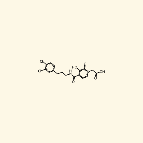 O=C(O)Cn1ccc(C(=O)NCCCc2ccc(Cl)c(Cl)c2)c(O)c1=O